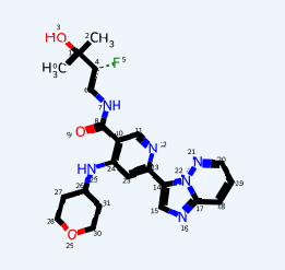 CC(C)(O)[C@H](F)CNC(=O)c1cnc(-c2cnc3cccnn23)cc1NC1CCOCC1